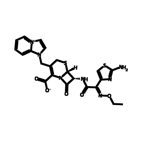 CCO/N=C(/C(=O)N[C@@H]1C(=O)N2C(C(=O)[O-])=C(Cn3cc[n+]4ccccc34)CS[C@H]12)c1csc(N)n1